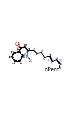 CCCCC/C=C\C=C\CCCCc1cc(=O)c2ccccc2n1C